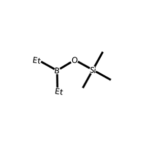 CCB(CC)O[Si](C)(C)C